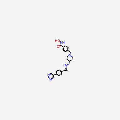 O=C(NO)c1ccc(CN2CCC(CNC3CC3c3ccc(-c4cncnc4)cc3)CC2)cc1